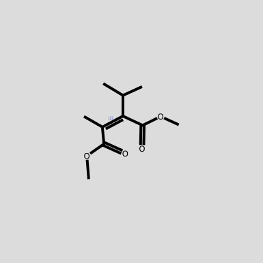 COC(=O)/C(C)=C(\C(=O)OC)C(C)C